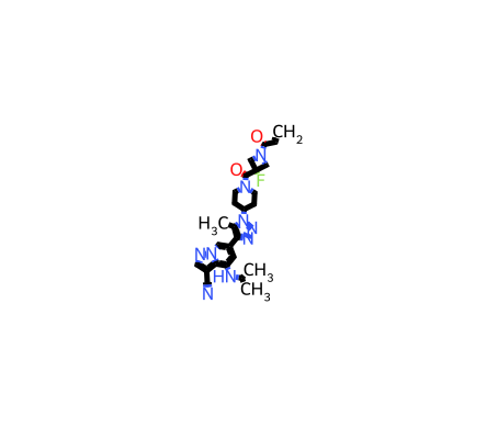 C=CC(=O)N1CC(F)(C(=O)N2CCC(n3nnc(-c4cc(NC(C)C)c5c(C#N)cnn5c4)c3C)CC2)C1